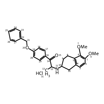 COc1ccc2c(c1OC)CCC(NC(C)C(=O)c1ccc(OCc3ccccc3)cc1)C2.Cl